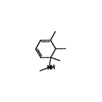 CNC1(C)C=CC=C(C)C1C